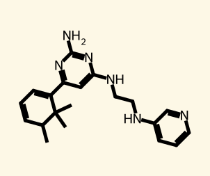 CC1C=CC=C(c2cc(NCCNc3cccnc3)nc(N)n2)C1(C)C